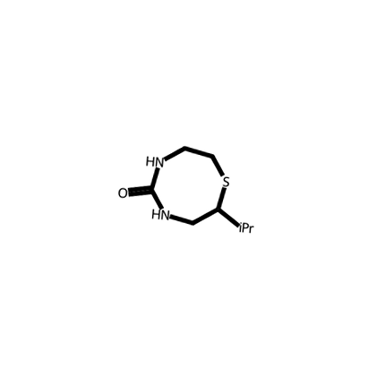 CC(C)C1CNC(=O)NCCS1